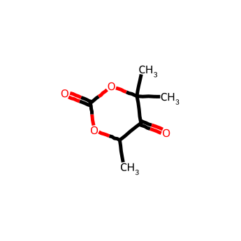 CC1OC(=O)OC(C)(C)C1=O